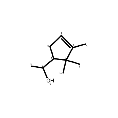 CC1=CCC(C(C)O)C1(C)C